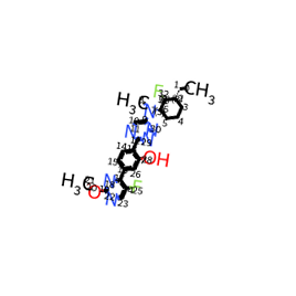 CC[C@@H]1CCC[C@H](N(C)c2cnc(-c3ccc(-c4nc(OC)ncc4F)cc3O)nn2)[C@@H]1F